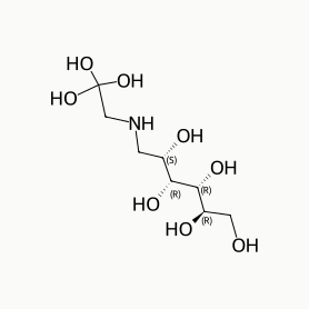 OC[C@@H](O)[C@@H](O)[C@H](O)[C@@H](O)CNCC(O)(O)O